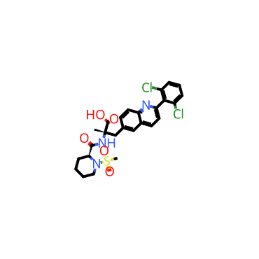 C[C@@](Cc1ccc2nc(-c3c(Cl)cccc3Cl)ccc2c1)(NC(=O)[C@@H]1CCCCN1S(C)(=O)=O)C(=O)O